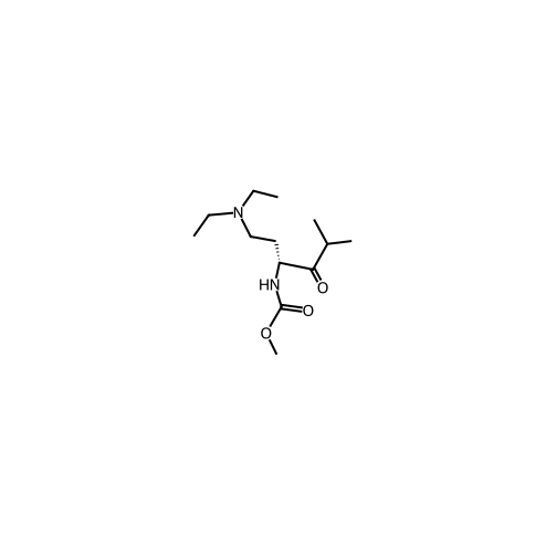 CCN(CC)CC[C@@H](NC(=O)OC)C(=O)C(C)C